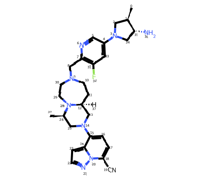 C[C@@H]1CN(c2cnc(CN3CC[C@H]4CN(c5ccc(C#N)n6nccc56)C[C@@H](C)N4CC3)c(F)c2)C[C@H]1N